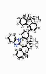 CC1(C)C2=C(c3nc4c(n3-c3ccc(-c5cccc6c5-c5ccccc5C6(C)C)cc31)CCC=C4)C1C=CC=C[C@H]1CC2